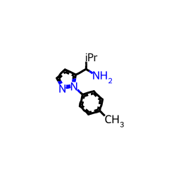 Cc1ccc(-n2nccc2C(N)C(C)C)cc1